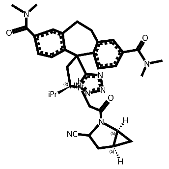 CC(C)[C@@H](CC1(c2nnn[nH]2)c2ccc(C(=O)N(C)C)cc2CCc2cc(C(=O)N(C)C)ccc21)NCC(=O)N1C(C#N)C[C@@H]2C[C@@H]21